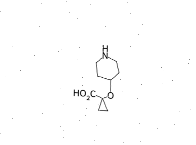 O=C(O)C1(OC2CCNCC2)CC1